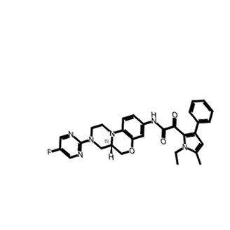 CCn1c(C)cc(-c2ccccc2)c1C(=O)C(=O)Nc1ccc2c(c1)OC[C@@H]1CN(c3ncc(F)cn3)CCN21